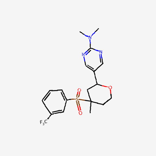 CN(C)c1ncc(C2CC(C)(S(=O)(=O)c3cccc(C(F)(F)F)c3)CCO2)cn1